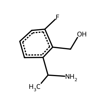 CC(N)c1cccc(F)c1CO